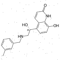 [CH2]c1cccc(CNC[C@H](O)c2ccc(O)c3[nH]c(=O)ccc23)c1